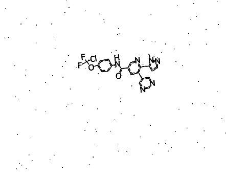 Cn1nccc1-c1ncc(C(=O)Nc2ccc(OC(F)(F)Cl)cc2)cc1-c1cncnc1